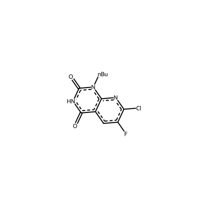 CCCCn1c(=O)[nH]c(=O)c2cc(F)c(Cl)nc21